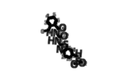 CCc1ccccc1C(=O)NC(=O)Nc1nc2ccc(C[SH](=O)=O)cc2s1